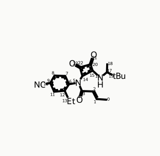 CC=CC(=O)N(c1ccc(C#N)cc1CC)c1c(NC(C)C(C)(C)C)c(=O)c1=O